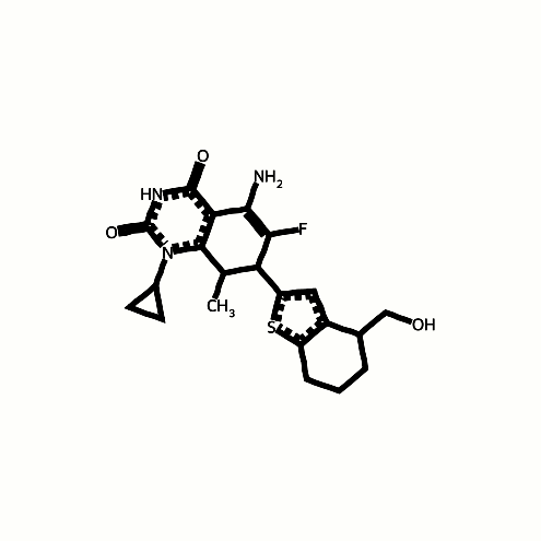 CC1c2c(c(=O)[nH]c(=O)n2C2CC2)C(N)=C(F)C1c1cc2c(s1)CCCC2CO